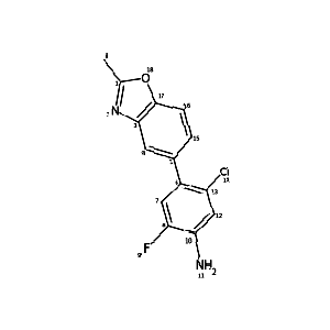 Cc1nc2cc(-c3cc(F)c(N)cc3Cl)ccc2o1